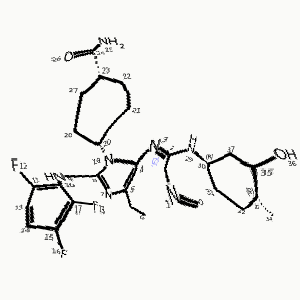 C=N/C(=N\c1c(C)nc(Nc2c(F)ccc(F)c2F)n1[C@H]1CC[C@@H](C(N)=O)CC1)N[C@@H]1CC[C@@H](C)C(O)C1